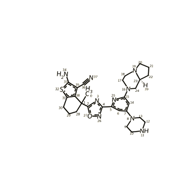 CC1(c2nc(-c3cc(N4CCNCC4)cc(N4CCN5CCC[C@H]5C4)n3)no2)CCCc2sc(N)c(C#N)c21